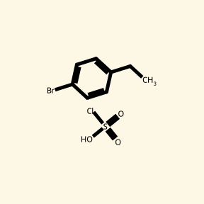 CCc1ccc(Br)cc1.O=S(=O)(O)Cl